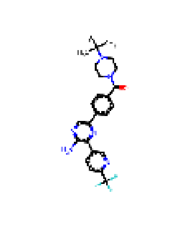 CC(C)(C)N1CCN(C(=O)c2ccc(-c3cnc(N)c(-c4ccc(C(F)(F)F)nc4)n3)cc2)CC1